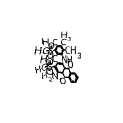 Cc1c(C)c(NC2=CC(S(=O)(=O)O)=C(N)C3C(=O)c4ccccc4C(=O)C23)c(C)c(S(=O)(=O)O)c1C